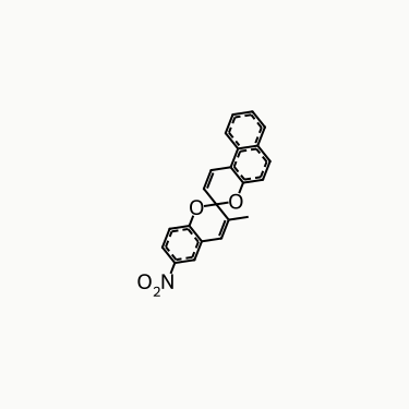 CC1=Cc2cc([N+](=O)[O-])ccc2OC12C=Cc1c(ccc3ccccc13)O2